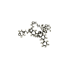 C=CCc1cn(CCN2CCOCC2)c2ccc(C(=O)Nc3cc(-c4ccccc4)ccc3NC(=O)OC(C)(C)C)cc12